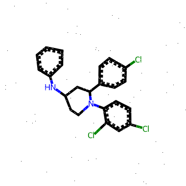 Clc1ccc(C2CC(Nc3ccccc3)CCN2c2ccc(Cl)cc2Cl)cc1